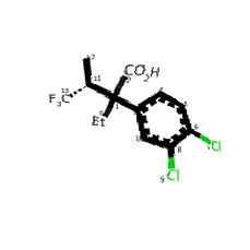 CCC(C(=O)O)(c1ccc(Cl)c(Cl)c1)[C@@H](C)C(F)(F)F